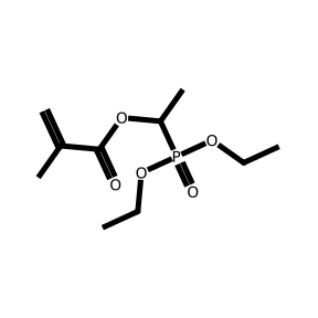 C=C(C)C(=O)OC(C)P(=O)(OCC)OCC